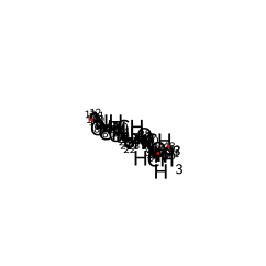 CN(CCCN(C)C(=O)Nc1ccccc1)C(=O)NCc1cccc(CNC(=O)N(C)CCCN(C)C(=O)Nc2ccccc2)c1